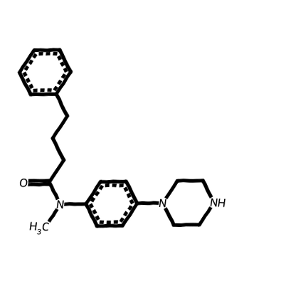 CN(C(=O)CCCc1ccccc1)c1ccc(N2CCNCC2)cc1